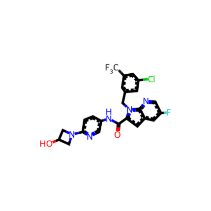 O=C(Nc1ccc(N2CC(O)C2)nc1)c1cc2cc(F)cnc2n1Cc1cc(Cl)cc(C(F)(F)F)c1